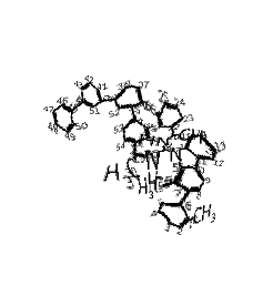 Cc1ccccc1-c1ccc2c3ccccc3n(C(NC(C)c3ccccc3)NC(C)c3ccc(-c4cccc(-c5cccc(-c6ccccc6)c5)c4)cc3)c2c1C